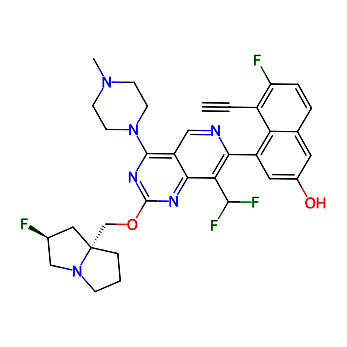 C#Cc1c(F)ccc2cc(O)cc(-c3ncc4c(N5CCN(C)CC5)nc(OC[C@]56CCCN5C[C@@H](F)C6)nc4c3C(F)F)c12